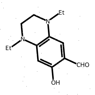 CCN1CCN(CC)c2cc(C=O)c(O)cc21